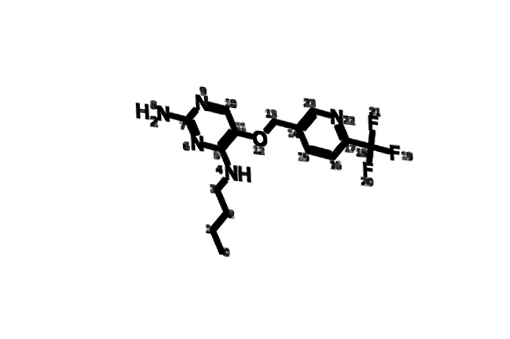 CCCCNc1nc(N)ncc1OCc1ccc(C(F)(F)F)nc1